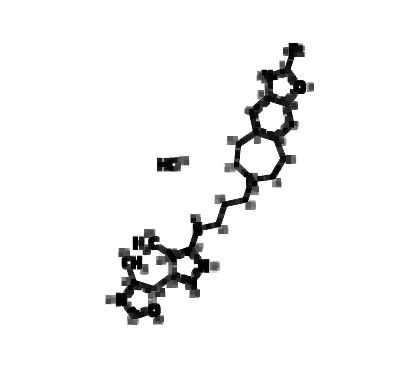 CCc1nc2cc3c(cc2o1)CCN(CCCSc1nnc(-c2ocnc2C)n1C)CC3.Cl